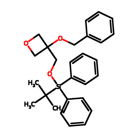 CC(C)(C)[Si](OCC1(OCc2ccccc2)COC1)(c1ccccc1)c1ccccc1